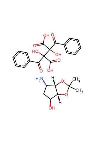 CC1(C)O[C@@H]2[C@H](O1)[C@@H](O)C[C@H]2N.O=C(O)C(O)(C(=O)c1ccccc1)C(O)(C(=O)O)C(=O)c1ccccc1